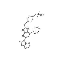 Cc1nc2ccccc2n1-c1nc(N2CCOCC2)c2nc(CN3CCC(CC(C)(C)O)CC3)n(C)c2n1